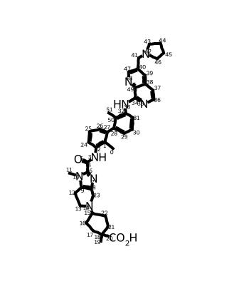 Cc1c(NC(=O)c2nc3c(n2C)CCN(C2CCC(C)(C(=O)O)CC2)C3)cccc1-c1cccc(Nc2nccc3cc(CN4CCCC4)cnc23)c1C